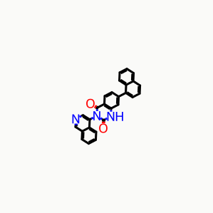 O=c1[nH]c2cc(-c3cccc4ccccc34)ccc2c(=O)n1-c1cncc2ccccc12